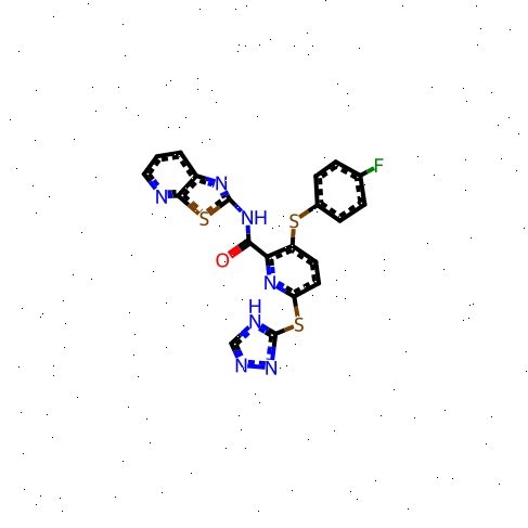 O=C(Nc1nc2cccnc2s1)c1nc(Sc2nnc[nH]2)ccc1Sc1ccc(F)cc1